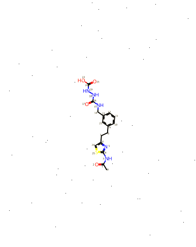 CC(=O)Nc1nc(CCc2cccc(CNC(=O)NNC(=O)O)c2)cs1